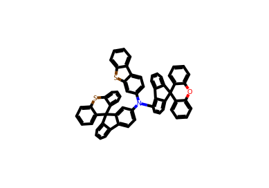 c1ccc2c(c1)Oc1ccccc1C21c2ccccc2-c2c(N(c3ccc4c(c3)C3(c5ccccc5Sc5ccccc53)c3ccccc3-4)c3ccc4c(c3)sc3ccccc34)cccc21